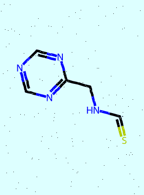 S=[C]NCc1ncncn1